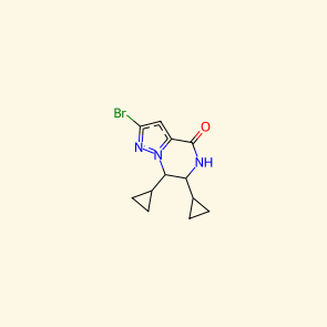 O=C1NC(C2CC2)C(C2CC2)n2nc(Br)cc21